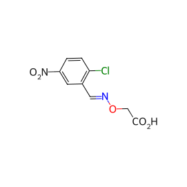 O=C(O)CO/N=C/c1cc([N+](=O)[O-])ccc1Cl